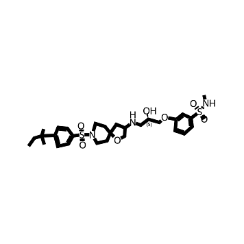 CCC(C)(C)c1ccc(S(=O)(=O)N2CCC3(CC2)CC(NC[C@H](O)COc2cccc(S(=O)(=O)NC)c2)CO3)cc1